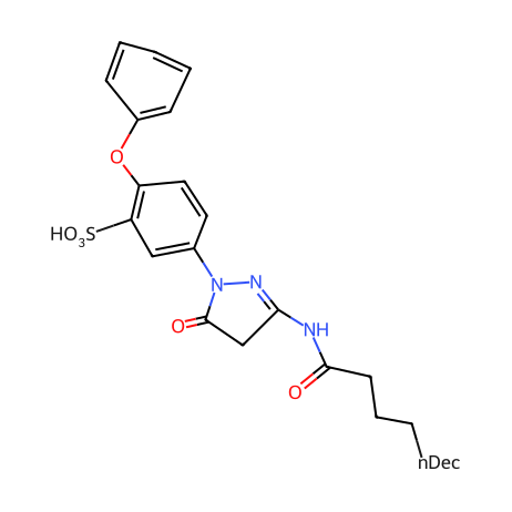 CCCCCCCCCCCCCC(=O)NC1=NN(c2ccc(Oc3ccccc3)c(S(=O)(=O)O)c2)C(=O)C1